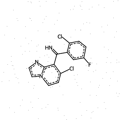 N=C(c1cc(F)ccc1Cl)c1c(Cl)ccn2ccnc12